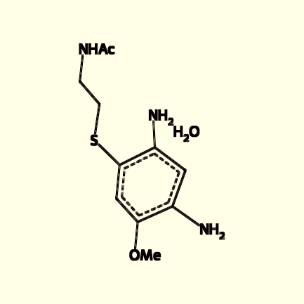 COc1cc(SCCNC(C)=O)c(N)cc1N.O